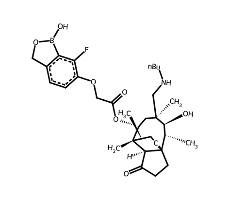 CCCCNC[C@]1(C)C[C@@H](OC(=O)COc2ccc3c(c2F)B(O)OC3)[C@]2(C)[C@H](C)CC[C@]3(CCC(=O)[C@H]32)[C@@H](C)[C@@H]1O